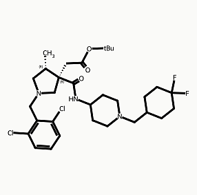 C[C@H]1CN(Cc2c(Cl)cccc2Cl)C[C@]1(CC(=O)OC(C)(C)C)C(=O)NC1CCN(CC2CCC(F)(F)CC2)CC1